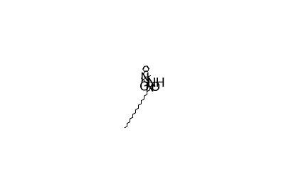 CCCCCCCCCCCCCCCCCCN1C(=O)NC2(CC(C)(C)N(Cc3ccccc3)C(C)(C)C2)C1=O